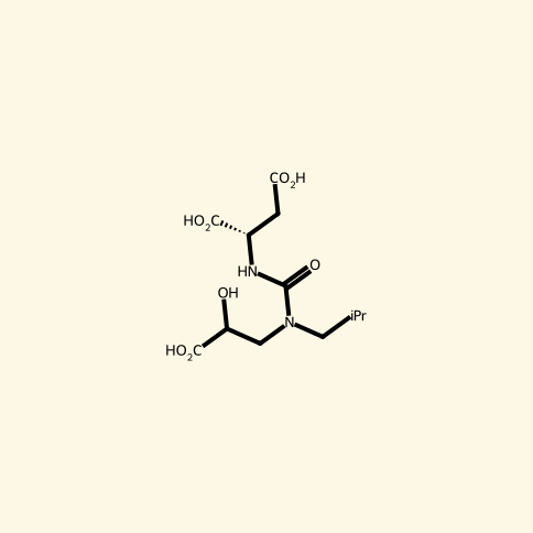 CC(C)CN(CC(O)C(=O)O)C(=O)N[C@@H](CC(=O)O)C(=O)O